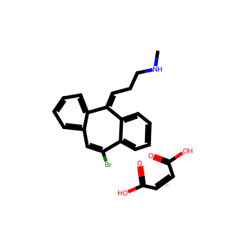 CNCCC=C1c2ccccc2C=C(Br)c2ccccc21.O=C(O)/C=C\C(=O)O